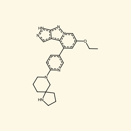 CCOc1cc(-c2ccc(N3CCCC4(CCCN4)C3)nc2)c2c3cn[nH]c3nn2c1